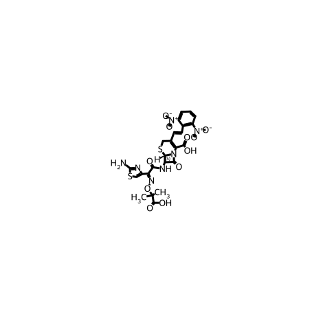 CC(C)(ON=C(C(=O)NC1C(=O)N2C(C(=O)O)=C(C=Cc3c([N+](=O)[O-])cccc3[N+](=O)[O-])CS[C@@H]12)c1csc(N)n1)C(=O)O